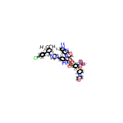 CC1(C)CCC(CN2CCN(c3ccc(C(=O)NS(=O)(=O)c4ccc(OC5CCC(N6CCOCC6)CC5)c([N+](=O)[O-])c4)c(N4CCOc5nc6[nH]ccc6cc54)c3)CC2)=C(c2ccc(Cl)cc2)C1